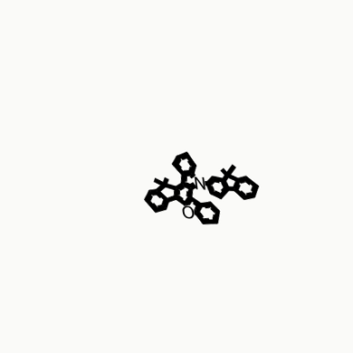 CC1(C)c2ccccc2-c2ccc(-n3c4ccccc4c4c5c(c6oc7ccccc7c6c43)-c3ccccc3C5(C)C)cc21